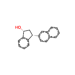 O[C@@H]1C[C@H](c2ccc3ccccc3c2)c2ccccc21